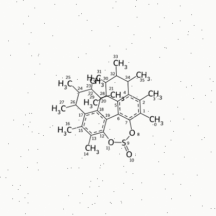 Cc1c(C)c2c(c3c1OS(=O)Oc1c(C)c(C)c4c(c1-3)C(C)C(C)C(C)C4C)C(C)C(C)C(C)C2C